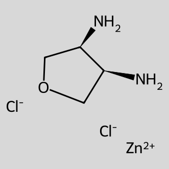 N[C@@H]1COC[C@@H]1N.[Cl-].[Cl-].[Zn+2]